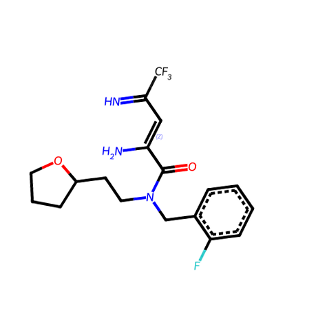 N=C(/C=C(\N)C(=O)N(CCC1CCCO1)Cc1ccccc1F)C(F)(F)F